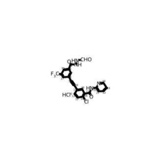 Cl.O=CNNC(=O)c1cc(C#Cc2ccc(Cl)c(C(=O)Nc3ccccn3)c2)cc(C(F)(F)F)c1